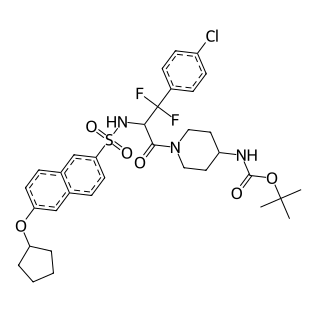 CC(C)(C)OC(=O)NC1CCN(C(=O)C(NS(=O)(=O)c2ccc3cc(OC4CCCC4)ccc3c2)C(F)(F)c2ccc(Cl)cc2)CC1